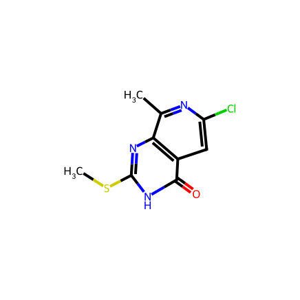 CSc1nc2c(C)nc(Cl)cc2c(=O)[nH]1